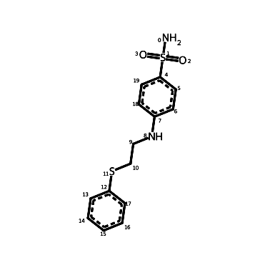 NS(=O)(=O)c1ccc(NCCSc2ccccc2)cc1